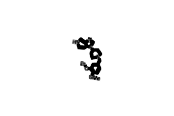 CCOc1cc(CN2CCC(N3C=NC4=CNC=CC43)CC2)ccc1OC